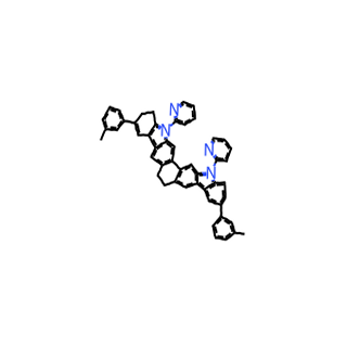 Cc1cccc(C2=Cc3c(n(-c4ccccn4)c4cc5c(cc34)CCc3cc4c6cc(-c7cccc(C)c7)ccc6n(-c6ccccn6)c4cc3-5)CC2)c1